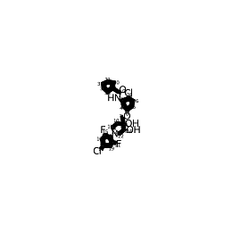 O=C(Nc1cc(OC[C@]2(O)CCN(c3c(F)cc(Cl)cc3F)C[C@H]2O)ccc1Cl)c1ccccc1